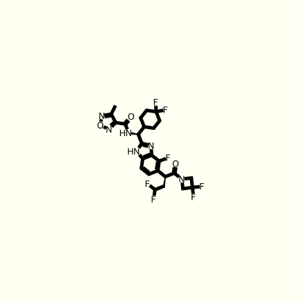 Cc1nonc1C(=O)N[C@H](c1nc2c(F)c([C@H](CC(F)F)C(=O)N3CC(F)(F)C3)ccc2[nH]1)C1CCC(F)(F)CC1